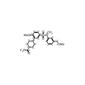 COCc1cccc(N(C)S(=O)(=O)c2ccc(OC)c(N3CCN(C(=O)C(F)(F)F)CC3)c2)c1